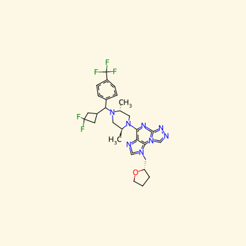 C[C@@H]1CN(c2nc3nncn3c3c2ncn3C[C@@H]2CCCO2)[C@@H](C)CN1C(c1ccc(C(F)(F)F)cc1)C1CC(F)(F)C1